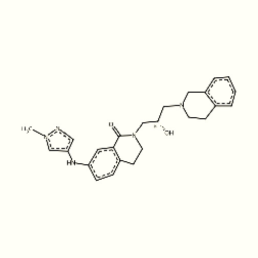 Cn1cc(Nc2ccc3c(c2)C(=O)N(C[C@@H](O)CN2CCc4ccccc4C2)CC3)cn1